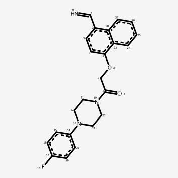 N=Cc1ccc(OCC(=O)N2CCN(c3ccc(F)cc3)CC2)c2ccccc12